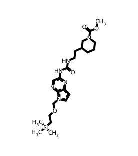 COC(=O)N1CCCC(CCNC(=O)Nc2cnc3c(ccn3COCC[Si](C)(C)C)n2)C1